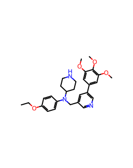 CCOc1ccc(N(Cc2cncc(-c3cc(OC)c(OC)c(OC)c3)c2)C2CCNCC2)cc1